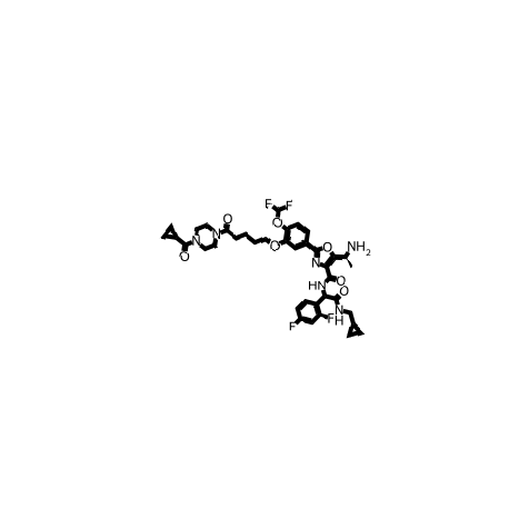 C[C@H](N)c1oc(-c2ccc(OC(F)F)c(OCCCCC(=O)N3CCN(C(=O)C4CC4)CC3)c2)nc1C(=O)NC(C(=O)NCC1CC1)c1ccc(F)cc1F